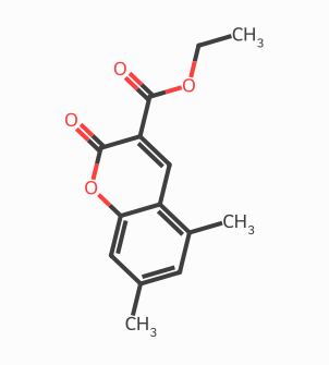 CCOC(=O)c1cc2c(C)cc(C)cc2oc1=O